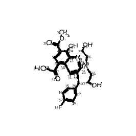 COC(=O)c1cc(C(=O)O)c2cc(Cc3ccc(F)cc3)cnc2c1O.OCCNCCO